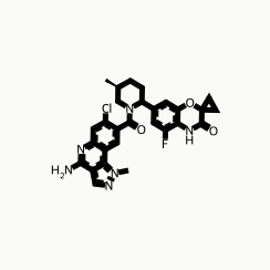 C[C@H]1CCC(c2cc(F)c3c(c2)OC2(CC2)C(=O)N3)N(C(=O)c2cc3c(cc2Cl)nc(N)c2cnn(C)c23)C1